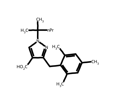 CCCC(C)(C)n1cc(C(=O)O)c(Cc2c(C)cc(C)cc2C)n1